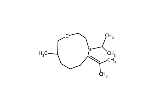 CC(C)=C1CCCC(C)CCCCN1C(C)C